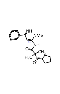 CN/C(=C\C(=N)c1ccccc1)NC(=O)C(C)(C)[S+]([O-])C1CCCC1